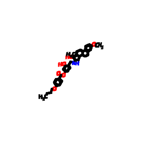 CCCCOc1ccc(C(=O)Oc2ccc(CN[C@H]3CC4C5CCc6cc(OC)ccc6C5CC[C@]4(C)[C@@H]3O)c(O)c2)cc1